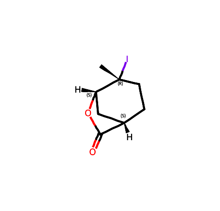 C[C@@]1(I)CC[C@H]2C[C@@H]1OC2=O